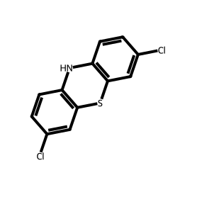 Clc1ccc2c(c1)Sc1cc(Cl)ccc1N2